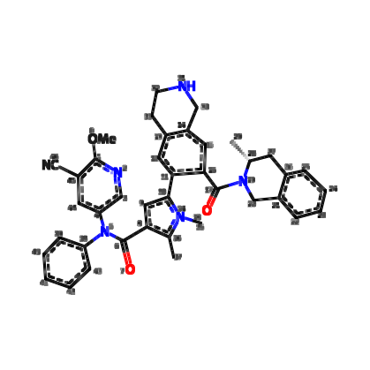 COc1ncc(N(C(=O)c2cc(-c3cc4c(cc3C(=O)N3Cc5ccccc5C[C@H]3C)CNCC4)n(C)c2C)c2ccccc2)cc1C#N